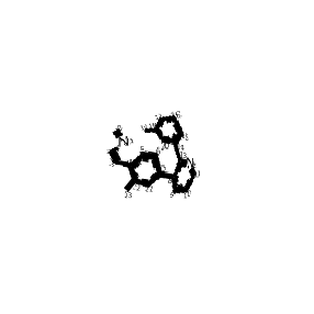 C=N/C=C\c1ccc(-c2cccnc2-c2cccc(C)c2)cc1C